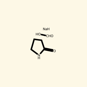 O=C1CCCN1.O=CO.[NaH]